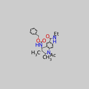 CCNC(=O)c1ccc2c(c1)[C@H](NC(=O)OCc1ccccc1)[C@@H](C)[C@H](C)N2C(C)=O